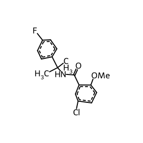 COc1ccc(Cl)cc1C(=O)NC(C)(C)c1ccc(F)cc1